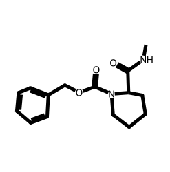 CNC(=O)C1CCCCN1C(=O)OCc1ccccc1